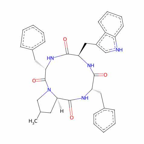 CC1C[C@@H]2C(=O)N[C@@H](Cc3ccccc3)C(=O)N[C@H](Cc3c[nH]c4ccccc34)C(=O)N[C@@H](Cc3ccccc3)C(=O)N2C1